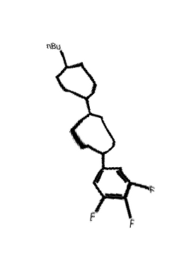 CCCCC1CCC(C2CCC(c3cc(F)c(F)c(F)c3)CC2)CC1